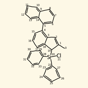 CC1=Cc2c(-c3cccc4ccccc34)cccc2C1[Si](Cl)(c1ccccc1)c1ccccc1